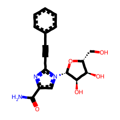 NC(=O)c1cn([C@@H]2O[C@H](CO)[C@@H](O)[C@H]2O)c(C#Cc2ccccc2)n1